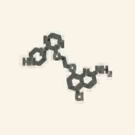 Nc1ccc2c(Cl)ccc(OCCOc3nccnc3N3CCNCC3)c2n1